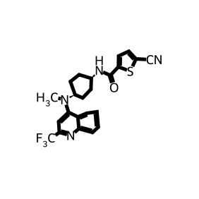 CN(c1cc(C(F)(F)F)nc2ccccc12)[C@H]1CC[C@@H](NC(=O)c2ccc(C#N)s2)CC1